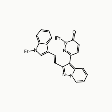 CCn1cc(/C=C/c2nn3ccccc3c2-c2ccc(=O)n(C(C)C)n2)c2ccccc21